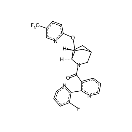 O=C(c1cccnc1-c1ncccc1F)N1CC2CC[C@H]1[C@H](Oc1ccc(C(F)(F)F)cn1)C2